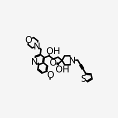 COc1ccc2ncc(CN3CCOCC3)c(C(O)CCC3(C(=O)O)CCN(CC#Cc4cccs4)CC3)c2c1